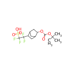 CC(C)(C)OC(=O)OC1CC2CC1CC2C(F)(F)C(F)(F)S(=O)(=O)O